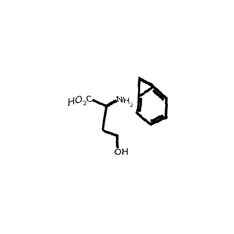 NC(CCO)C(=O)O.c1ccc2c(c1)C2